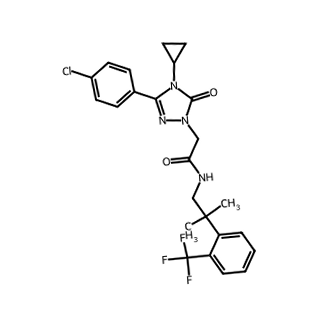 CC(C)(CNC(=O)Cn1nc(-c2ccc(Cl)cc2)n(C2CC2)c1=O)c1ccccc1C(F)(F)F